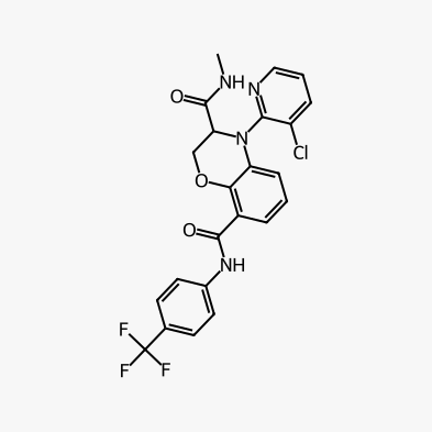 CNC(=O)C1COc2c(C(=O)Nc3ccc(C(F)(F)F)cc3)cccc2N1c1ncccc1Cl